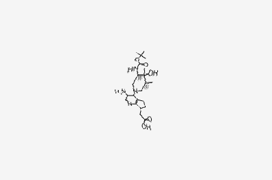 C[C@H]1CN(c2c(N)cnc3c2CCC3CC(=O)O)C[C@@H](NC(=O)OC(C)(C)C)C1(C)O